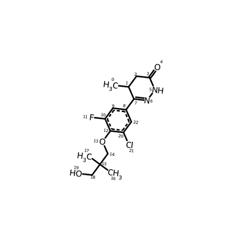 CC1CC(=O)NN=C1c1cc(F)c(OCC(C)(C)CO)c(Cl)c1